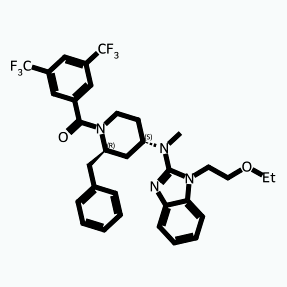 CCOCCn1c(N(C)[C@H]2CCN(C(=O)c3cc(C(F)(F)F)cc(C(F)(F)F)c3)[C@H](Cc3ccccc3)C2)nc2ccccc21